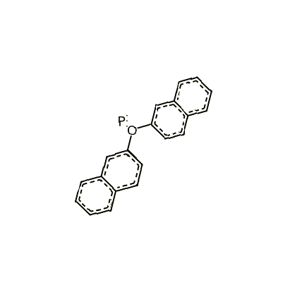 [P].c1ccc2cc(Oc3ccc4ccccc4c3)ccc2c1